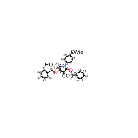 COc1ccc(-n2c(OCc3ccccc3)c(C(=O)O)c(OCc3ccccc3)c2C(=O)O)cc1